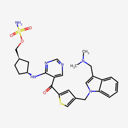 CN(C)Cc1cn(Cc2csc(C(=O)c3cncnc3N[C@H]3CC[C@@H](COS(N)(=O)=O)C3)c2)c2ccccc12